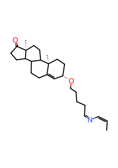 C/C=C\N=C/CCCCO[C@@H]1C=C2CCC3C(CC[C@]4(C)C(=O)CCC34)[C@@]2(C)CC1